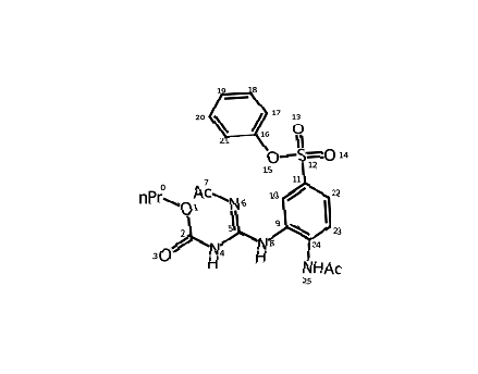 CCCOC(=O)NC(=NC(C)=O)Nc1cc(S(=O)(=O)Oc2ccccc2)ccc1NC(C)=O